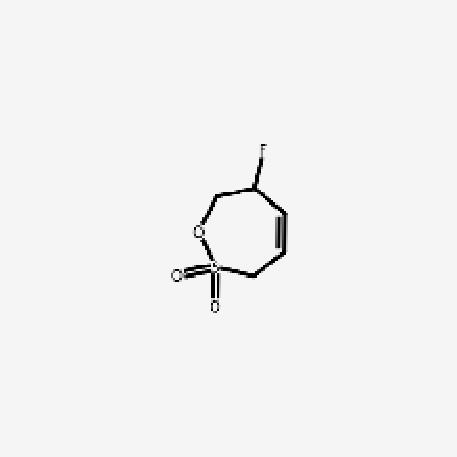 O=S1(=O)CC=CC(F)CO1